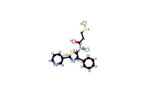 O=C(CCSCl)N(Cl)c1sc(-c2cccnc2)nc1-c1ccccc1